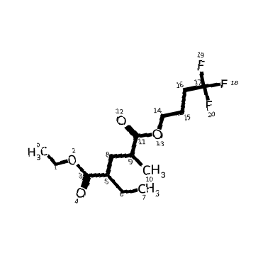 CCOC(=O)C(CC)CC(C)C(=O)OCCCC(F)(F)F